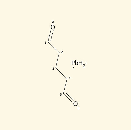 O=CCCCC=O.[PbH2]